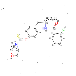 CCOC(=O)[C@H](Cc1ccc(OC(=S)N2CC3CC2CO3)cc1)NC(=O)c1ccccc1Cl